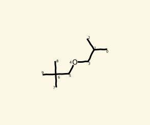 CC(C)COCC(C)(C)C